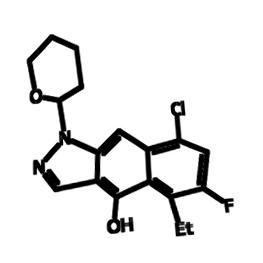 CCc1c(F)cc(Cl)c2cc3c(cnn3C3CCCCO3)c(O)c12